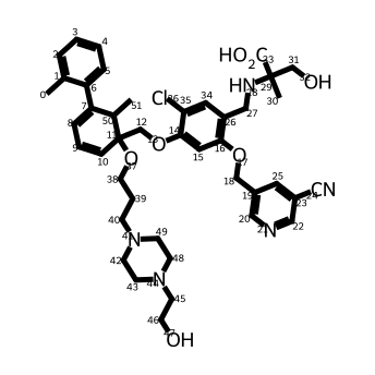 Cc1ccccc1C1=CC=CC(COc2cc(OCc3cncc(C#N)c3)c(CNC(C)(CO)C(=O)O)cc2Cl)(OCCCN2CCN(CCO)CC2)C1C